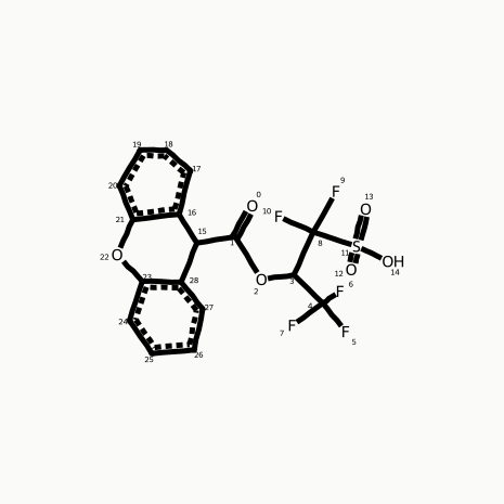 O=C(OC(C(F)(F)F)C(F)(F)S(=O)(=O)O)C1c2ccccc2Oc2ccccc21